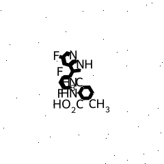 CC1CCC(C)[C@@H](Nc2nc(C3CNc4ncc(F)cc43)c(F)cc2F)C1C(=O)O